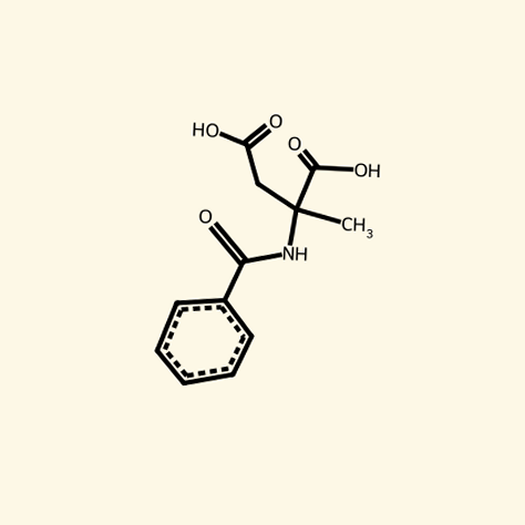 CC(CC(=O)O)(NC(=O)c1ccccc1)C(=O)O